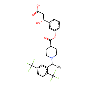 CC(c1cc(C(F)(F)F)ccc1C(F)(F)F)N1CCC(C(=O)Oc2cccc([C@H](O)CC(=O)O)c2)CC1